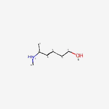 CNC(C)CCCCO